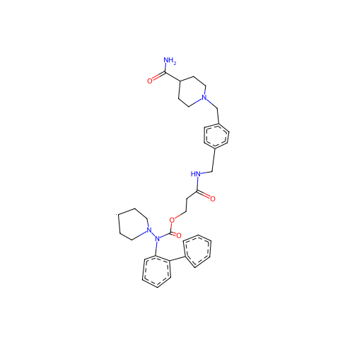 NC(=O)C1CCN(Cc2ccc(CNC(=O)CCOC(=O)N(c3ccccc3-c3ccccc3)N3CC[CH]CC3)cc2)CC1